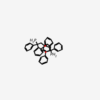 PC(Cc1ccccc1)(c1ccccc1)c1ccccc1-c1ccccc1C(P)(Cc1ccccc1)c1ccccc1